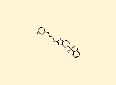 Cc1ccccc1S(=O)(=O)N1CCc2sc(OCCCC3CCCNC3)cc2C1